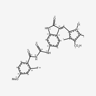 CCn1c(C)c(C(=O)O)c(C)c1C=C1C(=O)Nc2cc(NC(=O)NC(=O)c3ccc(OC)cc3F)ccc21